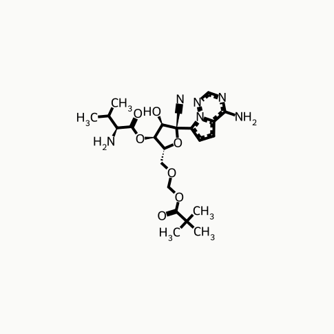 CC(C)[C@H](N)C(=O)O[C@H]1[C@@H](O)[C@](C#N)(c2ccc3c(N)ncnn23)O[C@@H]1COCOC(=O)C(C)(C)C